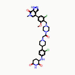 COc1cc(-c2cn(C)c(=O)c3[nH]ncc23)cc(F)c1CN1CCN(C(=O)CN2CCC(c3ccc(NC4CCC(=O)NC4=O)cc3Cl)CC2)CC1